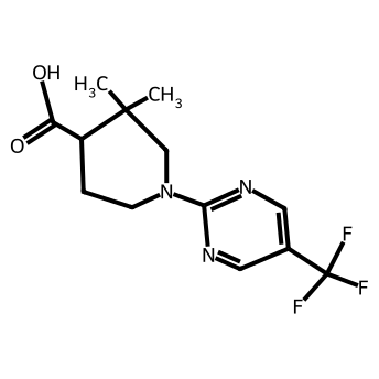 CC1(C)CN(c2ncc(C(F)(F)F)cn2)CCC1C(=O)O